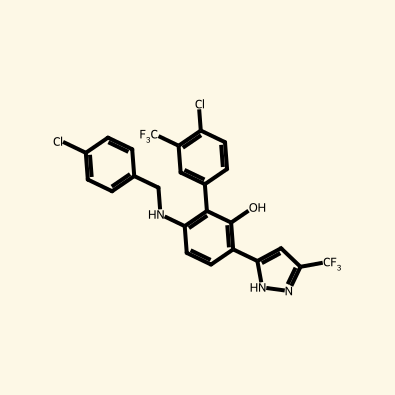 Oc1c(-c2cc(C(F)(F)F)n[nH]2)ccc(NCc2ccc(Cl)cc2)c1-c1ccc(Cl)c(C(F)(F)F)c1